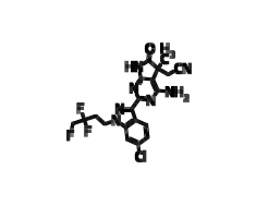 CC1(CC#N)C(=O)Nc2nc(-c3nn(CCC(F)(F)CF)c4cc(Cl)ccc34)nc(N)c21